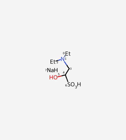 CCN(CC)CC(O)S(=O)(=O)O.[NaH]